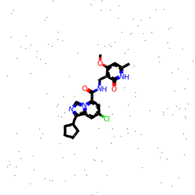 COc1cc(C)[nH]c(=O)c1CNC(=O)c1cc(Cl)cc2c(C3CCCC3)ncn12